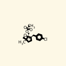 C[C@@]12CC[C@H](Cc3ccc(Cl)cc3)[C@]1(COS(C)(=O)=O)OC2